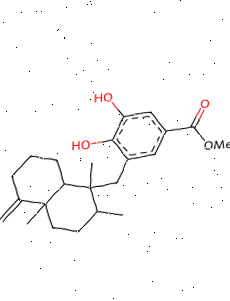 C=C1CCCC2C1(C)CCC(C)C2(C)Cc1cc(C(=O)OC)cc(O)c1O